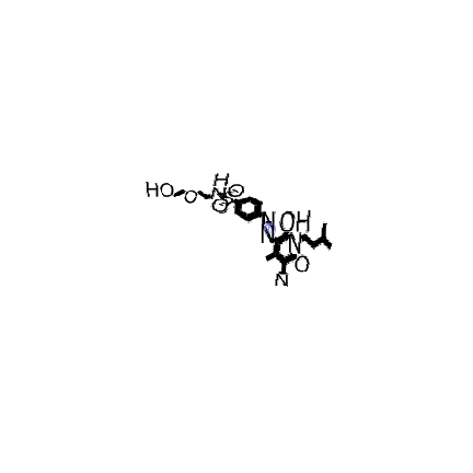 Cc1c(/N=N/c2ccc(S(=O)(=O)NCCOCCO)cc2)c(O)n(CCC(C)C)c(=O)c1C#N